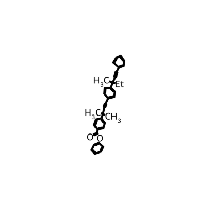 CCC(C)(C#Cc1ccccc1)c1ccc(C#CC(C)(C)c2ccc(C(=O)Oc3ccccc3)cc2)cc1